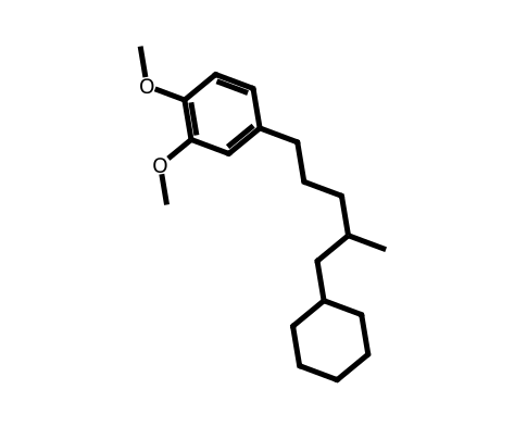 COc1ccc(CCCC(C)CC2CCCCC2)cc1OC